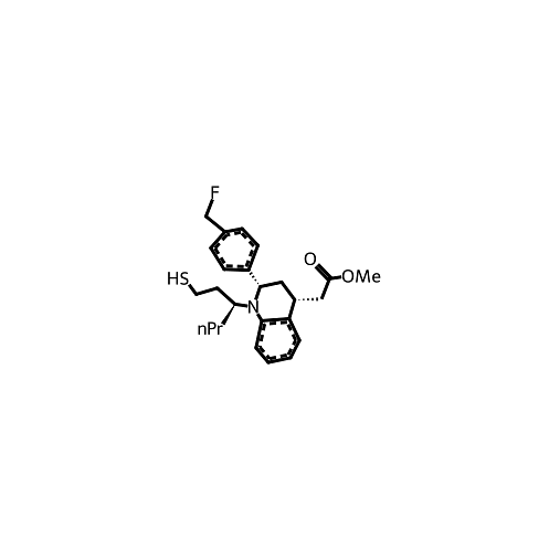 CCC[C@@H](CCS)N1c2ccccc2[C@@H](CC(=O)OC)C[C@H]1c1ccc(CF)cc1